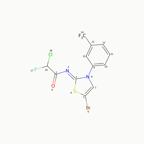 O=C(N=c1sc(Br)cn1-c1cccc(C(F)(F)F)c1)C(F)Cl